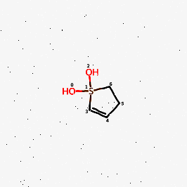 OS1(O)C=CCC1